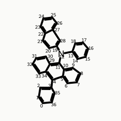 c1ccc(-c2c3ccccc3c(N(c3ccccc3)c3ccc4ccccc4c3)c3ccccc23)cc1